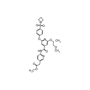 COC[C@@H](C)Oc1cc(C(=O)Nc2ccc(CC(=O)OC)cn2)cc(Oc2ccc(S(=O)(=O)N3CCC3)cc2)n1